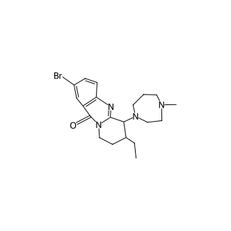 CCC1CCn2c(nc3ccc(Br)cc3c2=O)C1N1CCCN(C)CC1